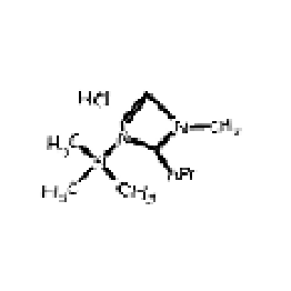 CCCC1N(C)C=CN1[Si](C)(C)C.Cl